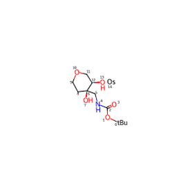 CC(C)(C)OC(=O)NC[C@]1(O)CCOC[C@H]1O.[Os]